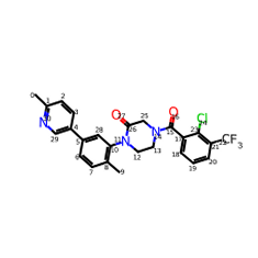 Cc1ccc(-c2ccc(C)c(N3CCN(C(=O)c4cccc(C(F)(F)F)c4Cl)CC3=O)c2)cn1